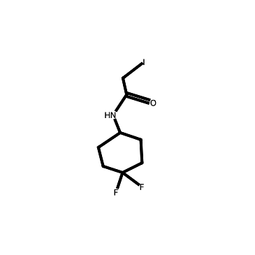 O=C(CI)NC1CCC(F)(F)CC1